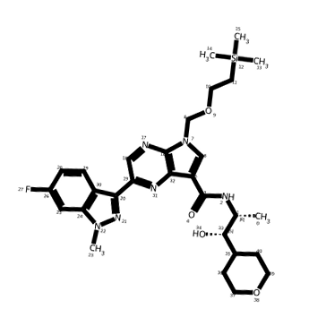 C[C@@H](NC(=O)c1cn(COCC[Si](C)(C)C)c2ncc(-c3nn(C)c4cc(F)ccc34)nc12)[C@@H](O)C1CCOCC1